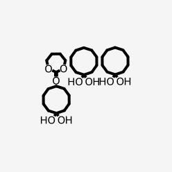 O=C1OCCCCO1.OC1(O)CCCCCCCCC1.OC1(O)CCCCCCCCC1.OC1(O)CCCCCCCCC1